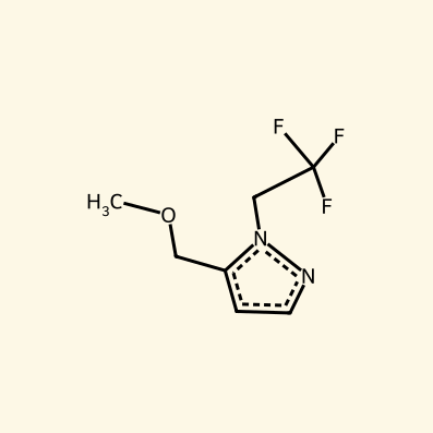 COCc1ccnn1CC(F)(F)F